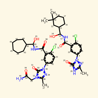 Cc1nn(-c2ccc(Cl)c(C(=O)NC(O)C3CCCC(C)(C)C3)c2)c(=O)[nH]1.Cc1nn(-c2ccc(Cl)c(C(=O)NC(O)C3CCCCCC3)c2)c(=O)n1CC(N)=O